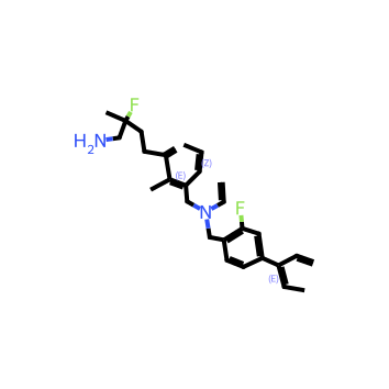 C=C/C(=C\C)c1ccc(CN(C=C)CC(/C=C\C)=C(\C)C(=C)CCC(C)(F)CN)c(F)c1